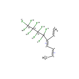 C=C/C(=C\C=C/C)C(F)(F)C(F)(F)C(F)(F)C(F)(F)F